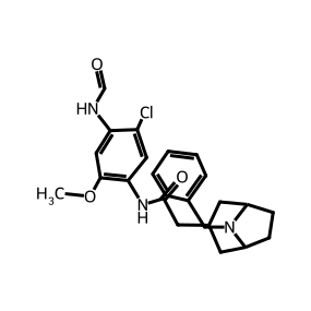 COc1cc(NC=O)c(Cl)cc1NC(=O)CC1CC2CCC(C1)N2Cc1ccccc1